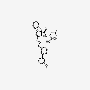 COc1cccc(-c2cccc(COCC3=NOC(Cc4ccccc4)(C(=O)NC(CC(C)C)B(O)O)C3)c2)c1